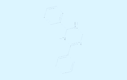 c1ccc(C2=NCNC(c3ccccc3)N2)cc1